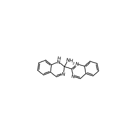 NC1(c2ncc3ccccc3n2)N=Cc2ccccc2N1